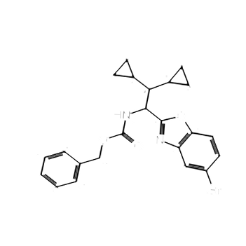 O=C(NC(c1nc2cc(Br)ccc2o1)C(C1CC1)C1CC1)OCc1ccccc1